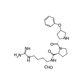 N=C(N)NCCC[C@@H](C=O)NC(=O)[C@@H]1CCCN1C(=O)[C@@H]1CC(Oc2ccccc2)CN1